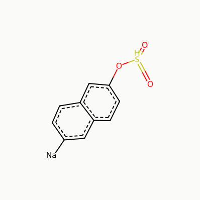 O=[SH](=O)Oc1ccc2c[c]([Na])ccc2c1